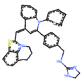 C(=C1C=C(c2ccc(CNC3=NCCN3)cc2)N(c2ccccc2)c2ccccc21)c1sc2cccc3c2[n+]1CCC3